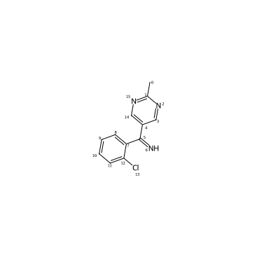 Cc1ncc(C(=N)c2ccccc2Cl)cn1